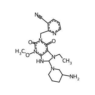 CCN1c2c(n(OC)c(=O)n(Cc3ncccc3C#N)c2=O)NC1N1CCCC(N)C1